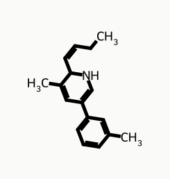 CC/C=C\C1NC=C(c2cccc(C)c2)C=C1C